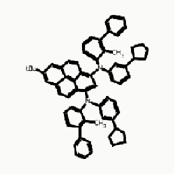 Cc1c(-c2ccccc2)cccc1N(c1cccc(C2CCCC2)c1)c1cc(N(c2cccc(C3CCCC3)c2)c2cccc(-c3ccccc3)c2C)c2ccc3cc(C(C)(C)C)cc4ccc1c2c43